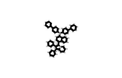 c1ccc(-c2ccc(N(c3ccc(-c4ccccc4)cc3)c3ccc(-c4c(-c5ccccc5)c(-c5ccccc5)c5ccccn45)c4ccccc34)cc2)cc1